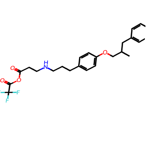 CC(COc1ccc(CCCNCCC(=O)OC(=O)C(F)(F)F)cc1)Cc1ccccc1